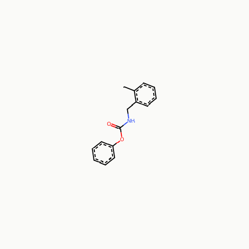 Cc1ccccc1CNC(=O)Oc1ccccc1